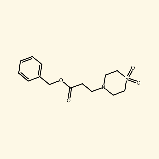 O=C(CCN1CCS(=O)(=O)CC1)OCc1ccccc1